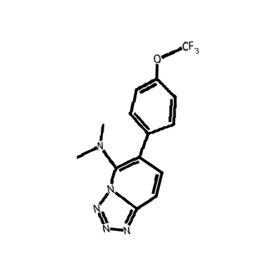 CN(C)c1c(-c2ccc(OC(F)(F)F)cc2)ccc2nnnn12